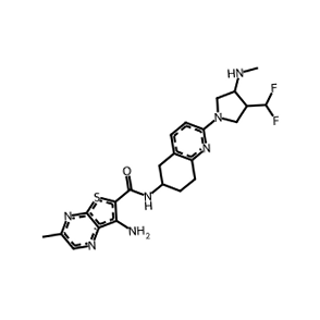 CNC1CN(c2ccc3c(n2)CCC(NC(=O)c2sc4nc(C)cnc4c2N)C3)CC1C(F)F